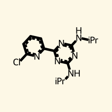 CC(C)Nc1nc(NC(C)C)nc(-c2cccc(Cl)n2)n1